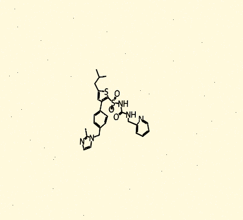 Cc1nccn1Cc1ccc(-c2cc(CC(C)C)sc2S(=O)(=O)NC(=O)NCc2ccccn2)cc1